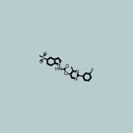 Cc1nc(-c2cccc(F)c2)ncc1OC(=O)Nn1ccc2cc(S(C)(=O)=O)ccc21